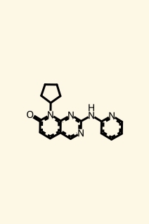 O=c1ccc2cnc(Nc3ccccn3)nc2n1C1CCCC1